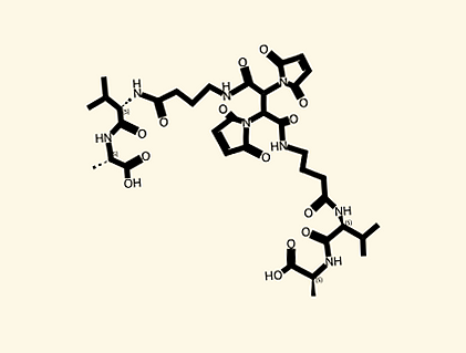 CC(C)[C@H](NC(=O)CCCNC(=O)C(C(C(=O)NCCCC(=O)N[C@H](C(=O)N[C@@H](C)C(=O)O)C(C)C)N1C(=O)C=CC1=O)N1C(=O)C=CC1=O)C(=O)N[C@@H](C)C(=O)O